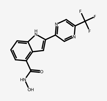 O=C(NO)c1cccc2[nH]c(-c3cnc(C(F)(F)F)cn3)cc12